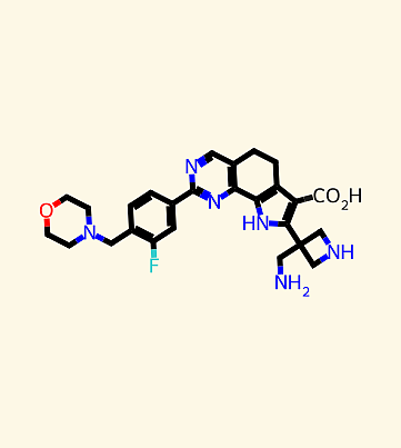 NCC1(c2[nH]c3c(c2C(=O)O)CCc2cnc(-c4ccc(CN5CCOCC5)c(F)c4)nc2-3)CNC1